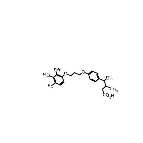 CCCc1c(OCCCOc2ccc(C(O)C(C)CC(=O)O)cc2)ccc(C(C)=O)c1O